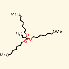 C=C[Si](OCCCCCCOC)(OCCCCCCOC)OCCCCCCOC